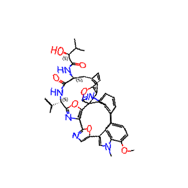 COc1ccc2c3c(cn(C)c13)-c1cnc(o1)-c1nc3oc1C14c5cc(ccc5OC1Nc1c-2cccc14)C[C@H](NC(=O)[C@@H](O)C(C)C)C(=O)N[C@H]3C(C)C